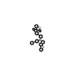 c1ccc(-c2ccc(N(c3cccc(-c4ccc5c(c4)C4(c6ccccc6Oc6ccccc64)c4ccccc4-5)c3)c3cccc4c3ccc3c5ccccc5sc43)cc2)cc1